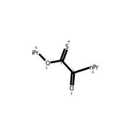 CCCC(=O)C(=S)OC(C)C